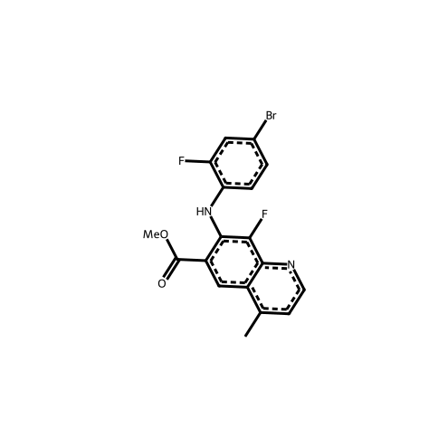 COC(=O)c1cc2c(C)ccnc2c(F)c1Nc1ccc(Br)cc1F